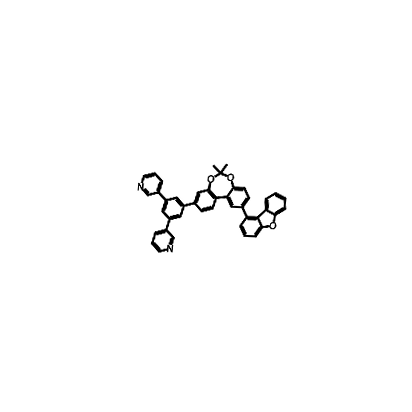 CC1(C)Oc2cc(-c3cc(-c4cccnc4)cc(-c4cccnc4)c3)ccc2-c2cc(-c3cccc4oc5ccccc5c34)ccc2O1